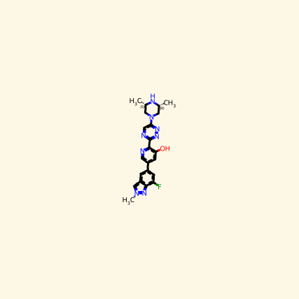 C[C@@H]1CN(c2cnc(-c3ncc(-c4cc(F)c5nn(C)cc5c4)cc3O)nn2)C[C@H](C)N1